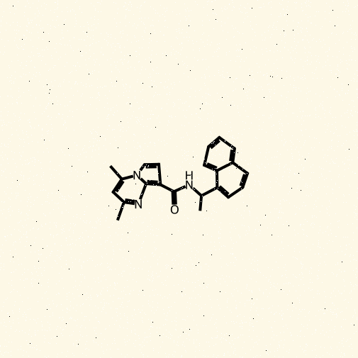 Cc1cc(C)n2ccc(C(=O)NC(C)c3cccc4ccccc34)c2n1